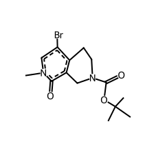 Cn1cc(Br)c2c(c1=O)CN(C(=O)OC(C)(C)C)CC2